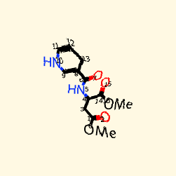 COC(=O)CC(NC(=O)C1=CNC=CC1)C(=O)OC